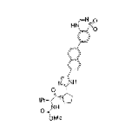 COC(=O)N[C@H](C(=O)N1CCC[C@H]1c1ncc(-c2ccc3cc(-c4ccc5c(c4)NC=NS5(=O)=O)ccc3c2)[nH]1)C(C)C